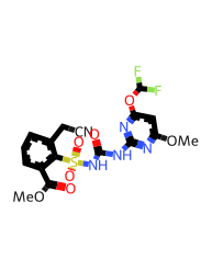 COC(=O)c1cccc(CC#N)c1S(=O)(=O)NC(=O)Nc1nc(OC)cc(OC(F)F)n1